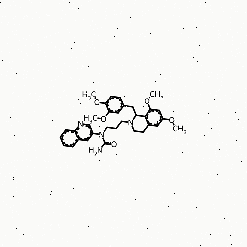 COc1cc2c(c(OC)c1)C(Cc1ccc(OC)c(OC)c1)N(CCCN(C(N)=O)c1cnc3ccccc3c1)CC2